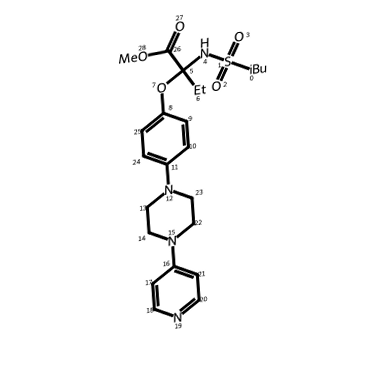 CCC(C)S(=O)(=O)NC(CC)(Oc1ccc(N2CCN(c3ccncc3)CC2)cc1)C(=O)OC